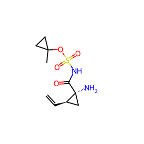 C=C[C@@H]1C[C@]1(N)C(=O)NS(=O)(=O)OC1(C)CC1